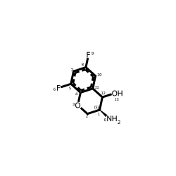 N[C@H]1COc2c(F)cc(F)cc2C1O